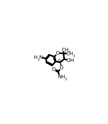 CC1(C)Oc2cc(N)ccc2[C@H](OC(N)=O)C1O